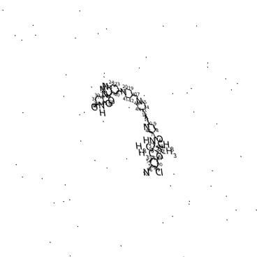 CC1(C)[C@H](NC(=O)c2ccc(C#CC3CCN(CC4CCN(c5ccc6nnn(C7CCC(=O)NC7=O)c(=O)c6c5)CC4)CC3)nc2)C(C)(C)[C@H]1Oc1ccc(C#N)c(Cl)c1